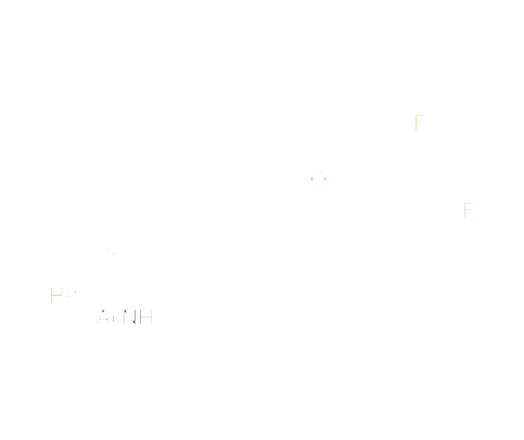 CC(=O)NC1(C(C)=P)CCC(OCC(F)F)CC1